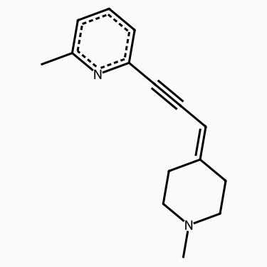 Cc1cccc(C#CC=C2CCN(C)CC2)n1